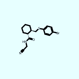 N#CCNC(=O)[C@@H]1CCCC[C@H]1CSc1ccc(Br)cc1